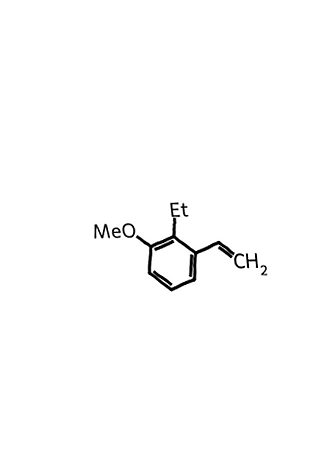 C=Cc1cccc(OC)c1CC